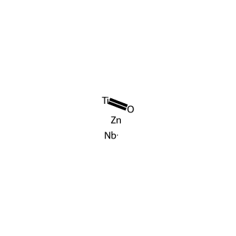 [Nb].[O]=[Ti].[Zn]